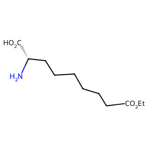 CCOC(=O)CCCCCC[C@H](N)C(=O)O